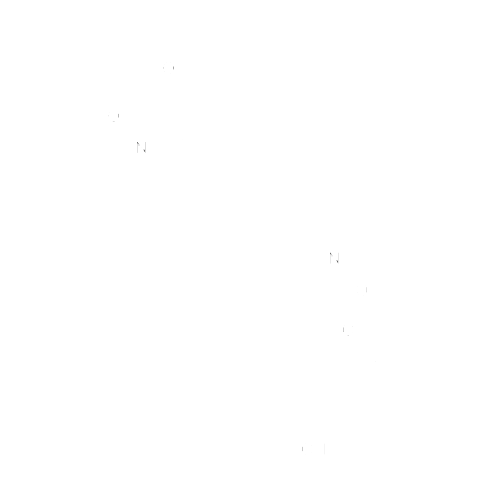 COc1ccc(CCC(CC2CC(O)CCO2)N=O)cc1N=O